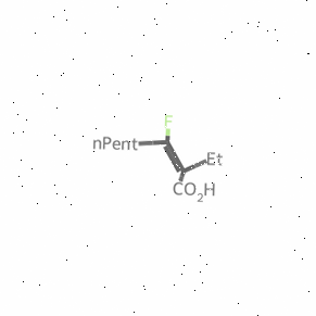 CCCCCC(F)=C(CC)C(=O)O